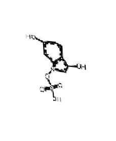 O=S(=O)(O)On1cc(O)c2ccc(O)cc21